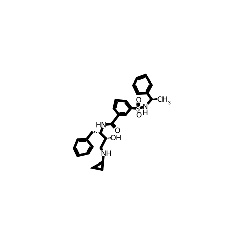 C[C@@H](NS(=O)(=O)c1cccc(C(=O)N[C@@H](Cc2ccccc2)[C@H](O)CNC2CC2)c1)c1ccccc1